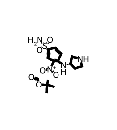 CC(C)(C)OC=O.NS(=O)(=O)c1ccc(N[C@H]2CCNC2)c([N+](=O)[O-])c1